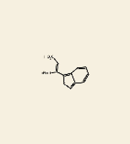 CCCCCC(=CC(=O)O)c1scc2ccccc12